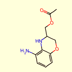 CC(=O)OCC1COc2cccc(N)c2N1